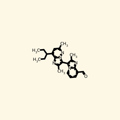 CCC(CC)c1cc(C)nn2c(-c3c(C)nc4c(C=O)cccn34)c(C)nc12